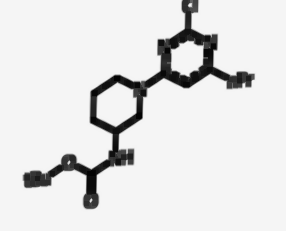 CCCc1cc(N2CCCC(NC(=O)OC(C)(C)C)C2)nc(Cl)n1